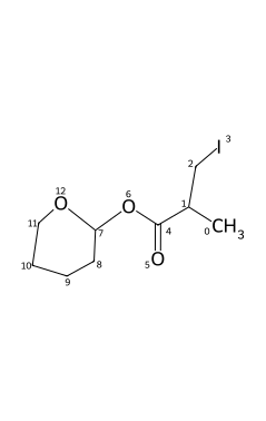 CC(CI)C(=O)OC1CCCCO1